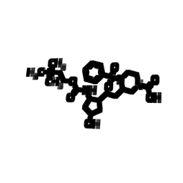 C[Si](C)(C)CCOC(=O)NC1CC(O)CC1CCC1CN(C(=O)O)CCN1S(=O)(=O)c1ccccc1